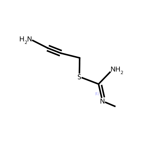 C/N=C(\N)SCC#CN